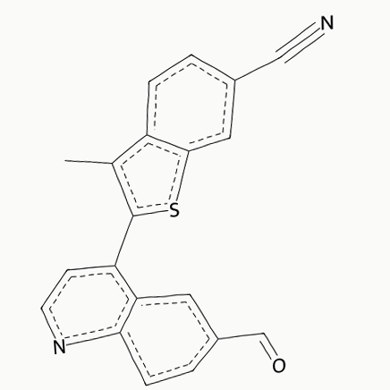 Cc1c(-c2ccnc3ccc(C=O)cc23)sc2cc(C#N)ccc12